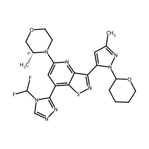 Cc1cc(-c2nsc3c(-c4nncn4C(F)F)cc(N4CCOC[C@H]4C)nc23)n(C2CCCCO2)n1